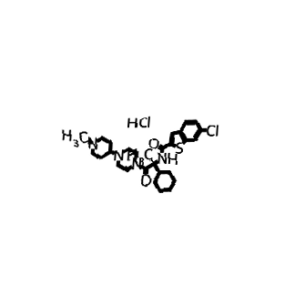 CN1CCC(N2CCN(C(=O)[C@@](C)(NC(=O)c3cc4ccc(Cl)cc4s3)C3CCCCC3)CC2)CC1.Cl